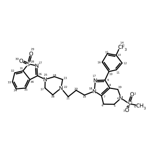 CS(=O)(=O)N1CCc2c(c(-c3ccc(C(F)(F)F)cc3)nn2CCCN2CCN(C3=NS(=O)(=O)c4ccccc43)CC2)C1